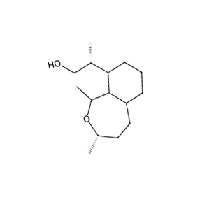 CC1O[C@@H](C)CCC2CCCC([C@@H](C)CO)C21